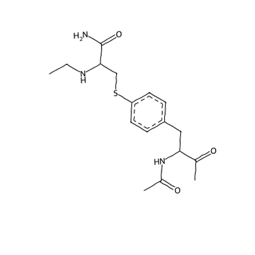 CCNC(CSc1ccc(CC(NC(C)=O)C(C)=O)cc1)C(N)=O